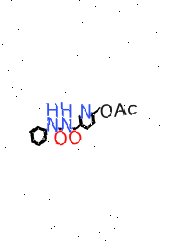 CC(=O)OCc1ccc(C(=O)NC(=O)Nc2ccccc2)cn1